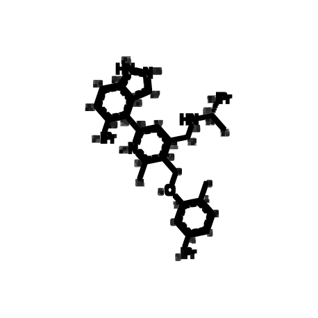 Cc1ccc(C(C)C)cc1OCc1c(CN[C@@H](C)C(C)C)cc(-c2c(C(C)C)ccc3[nH]ncc23)nc1C